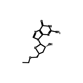 CCOC[C@@H]1C[C@@H](O)C(n2cnc3c(=O)[nH]c(N)nc32)O1